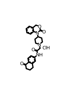 Cl.O=C(CN1CCC(N2C(=O)OCc3ccccc32)CC1)Nc1ccc2c(c1)CCCC2=O